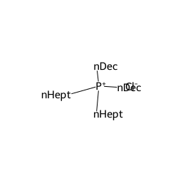 CCCCCCCCCC[P+](CCCCCCC)(CCCCCCC)CCCCCCCCCC.[Cl-]